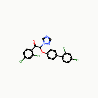 O=C(c1ccc(Cl)cc1Cl)C(Oc1ccc(-c2ccc(Cl)cc2Cl)cc1)n1cncn1